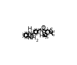 Cc1csc(C=C(C(=O)NCc2ccc(C(=O)Nc3ccccc3N)cc2)c2cccs2)c1